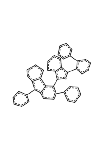 c1ccc(-c2ccccc2-c2sc(-c3c(-c4ccccc4)ccc4c3c3ccccc3n4-c3ccccc3)c3ccccc23)cc1